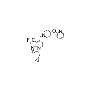 FC(F)(F)c1c(CN2CCC(Oc3ccccn3)CC2)ccn2c(CC3CC3)nnc12